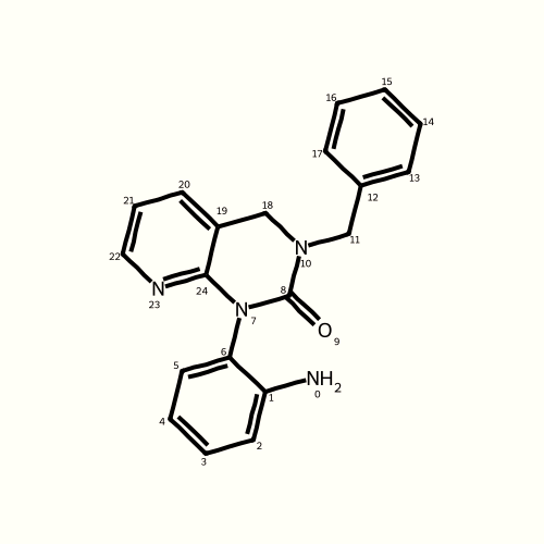 Nc1ccccc1N1C(=O)N(Cc2ccccc2)Cc2cccnc21